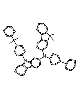 CC(C)(c1ccccc1)c1ccc(-n2c3ccccc3c3ccc(N(c4ccc(-c5ccccc5)cc4)c4ccc5c(c4)C(C)(C)c4ccccc4-5)cc32)cc1